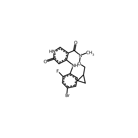 CN(OCC1CC1)C(=O)c1c[nH]c(=O)cc1Nc1ccc(Br)cc1F